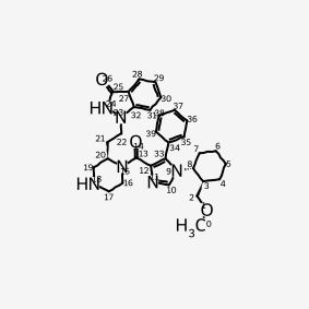 COC[C@@H]1CCCC[C@H]1n1cnc(C(=O)N2CCNC[C@H]2CCn2[nH]c(=O)c3ccccc32)c1-c1ccccc1